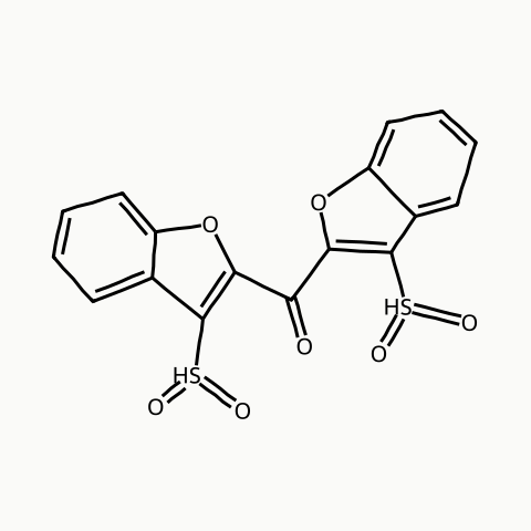 O=C(c1oc2ccccc2c1[SH](=O)=O)c1oc2ccccc2c1[SH](=O)=O